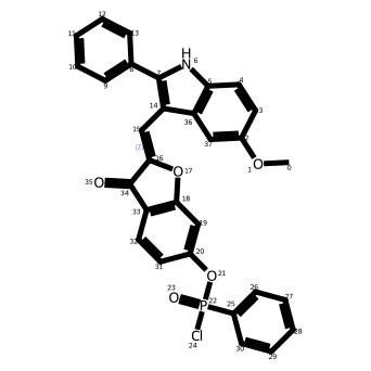 COc1ccc2[nH]c(-c3ccccc3)c(/C=C3\Oc4cc(OP(=O)(Cl)c5ccccc5)ccc4C3=O)c2c1